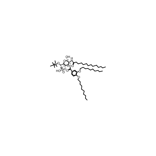 CCCCCCCCCCCCCC(=O)N[C@H]1[C@@H](OC(=O)c2ccc(OCCCCCCCCCC)c(OCCCCCCCCCC)c2)[C@H](OS(=O)(=O)O)[C@@H](CO[Si](C)(C)C(C)(C)C)O[C@@H]1O